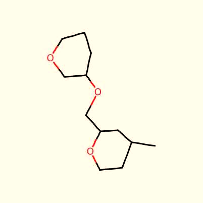 CC1CCOC(COC2CCCOC2)C1